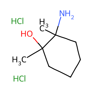 CC1(N)CCCCC1(C)O.Cl.Cl